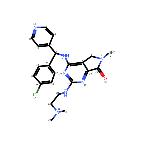 CCCN1Cc2c(NC(c3ccncc3)c3ccc(Cl)cc3)nc(NCCN(C)C)nc2C1=O